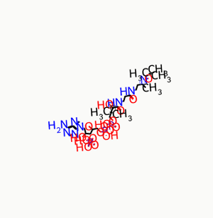 C/C(CCNC(=O)CCNC(=O)[C@H](O)C(C)(C)COP(=O)(O)OP(=O)(O)OCC1OC(n2cnc3c(N)ncnc32)C(O)C1OP(=O)(O)O)=N\OC(C)(C)C